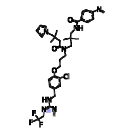 C=N/C(=N\CC(F)(F)F)NCc1ccc(OCCCN(CC(C)(C)CNC(=O)c2ccc(N=C)cc2)C(=O)CC(C)(C)n2cccc2)c(Cl)c1